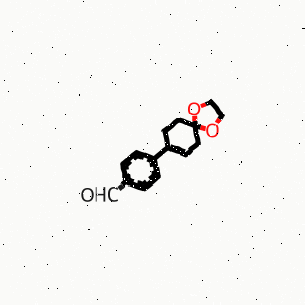 O=Cc1ccc(C2=CCC3(CC2)OCCO3)cc1